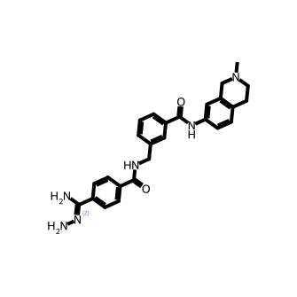 CN1CCc2ccc(NC(=O)c3cccc(CNC(=O)c4ccc(/C(N)=N/N)cc4)c3)cc2C1